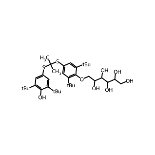 CC(C)(Sc1cc(C(C)(C)C)c(O)c(C(C)(C)C)c1)Sc1cc(C(C)(C)C)c(OCC(O)C(O)C(O)C(O)CO)c(C(C)(C)C)c1